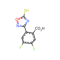 O=C(O)c1cc(F)c(F)cc1-c1noc(S)n1